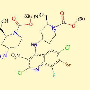 CC(C)(C)OC(=O)N1CC[C@H](N)C[C@H]1CC#N.CC(C)(C)OC(=O)N1CC[C@H](Nc2c([N+](=O)[O-])c(Cl)nc3c(F)c(Br)c(Cl)cc23)C[C@H]1CC#N